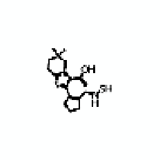 C=C(O)c1c(C2=C(CNS)CCC2)sc2c1CC(C)(C)CC2